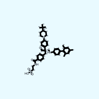 Cc1cc(C)c(-c2ccc(NC[C@@](C=O)(Cc3ccc(C(=O)NCCS(=O)(=O)O)cc3)c3ccc(N4CCC(C(C)(C)C)CC4)cc3)cc2)c(C)c1